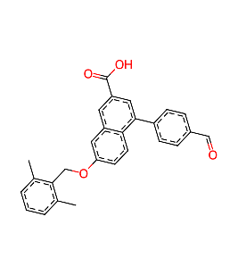 Cc1cccc(C)c1COc1ccc2c(-c3ccc(C=O)cc3)cc(C(=O)O)cc2c1